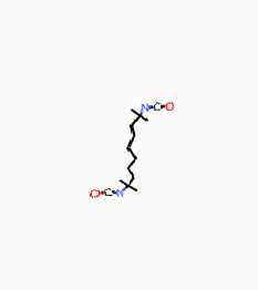 CC(C)(CCCCCCC(C)(C)N=C=O)N=C=O